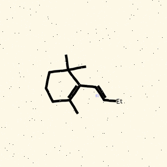 CC/C=C/C1=C(C)CCCC1(C)C